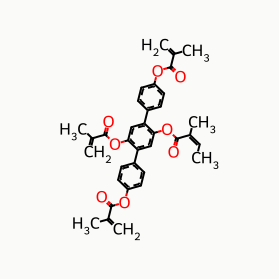 C=C(C)C(=O)Oc1ccc(-c2cc(OC(=O)/C(C)=C\C)c(-c3ccc(OC(=O)C(=C)C)cc3)cc2OC(=O)C(=C)C)cc1